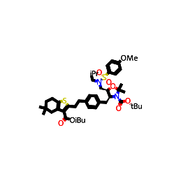 COc1ccc(S(=O)(=O)N(CC(C)C)C[C@H]2OC(C)(C)N(C(=O)OC(C)(C)C)[C@H]2Cc2ccc(CCc3sc4c(c3C(=O)OCC(C)C)CC(C)(C)CC4)cc2)cc1